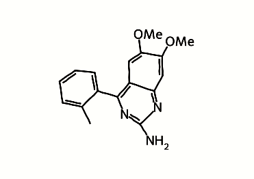 COc1cc2nc(N)nc(-c3ccccc3C)c2cc1OC